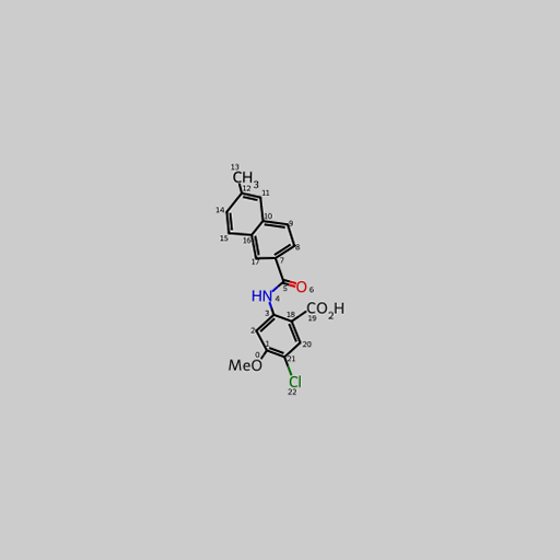 COc1cc(NC(=O)c2ccc3cc(C)ccc3c2)c(C(=O)O)cc1Cl